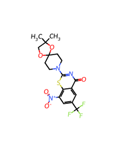 CC1(C)COC2(CCN(c3nc(=O)c4cc(C(F)(F)F)cc([N+](=O)[O-])c4s3)CC2)O1